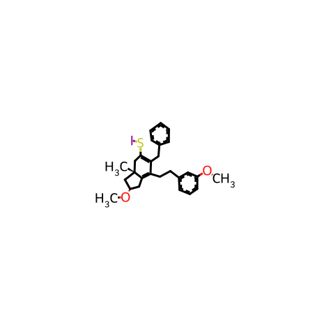 COc1cccc(CCC2=C3C[C@H](OC)C[C@]3(C)CC(SI)=C2Cc2ccccc2)c1